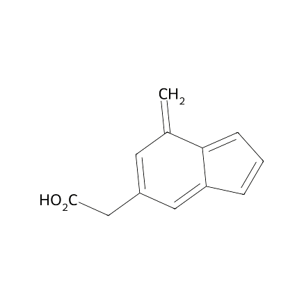 C=c1cc(CC(=O)O)cc2c1=CC=C2